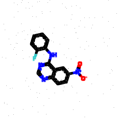 O=[N+]([O-])c1ccc2ncnc(Nc3ccccc3F)c2c1